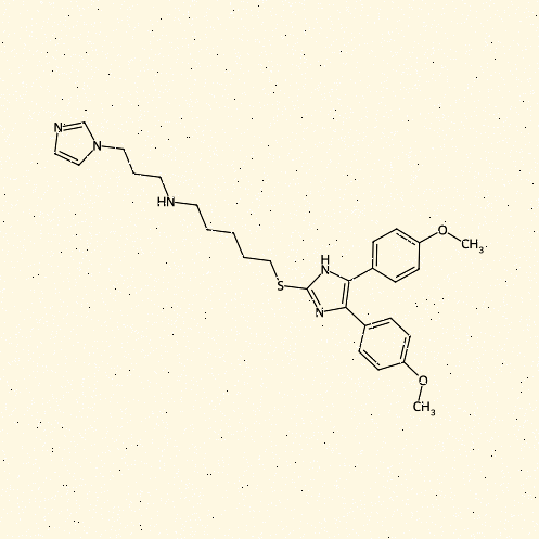 COc1ccc(-c2nc(SCCCCCNCCCn3ccnc3)[nH]c2-c2ccc(OC)cc2)cc1